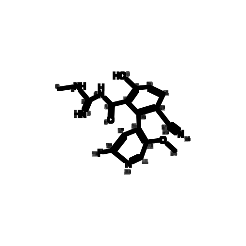 CNC(=N)NC(=O)c1c(O)ccc(C#N)c1-c1cc(F)ncc1OC